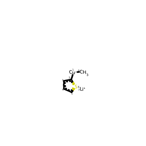 [CH3][Cu-][c]1cccs1.[Li+]